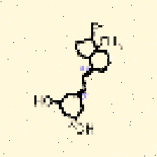 CCC1CCC2/C(=C/C=C3\CC(O)C[C@H](O)C3)CCCC12C